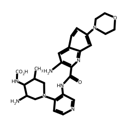 CC1CN(c2ccncc2NC(=O)c2nc3cc(N4CCOCC4)ccc3cc2N)CC(N)C1NC(=O)O